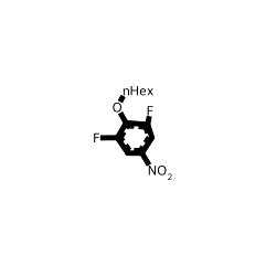 CCCCCCOc1c(F)cc([N+](=O)[O-])cc1F